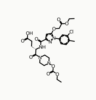 CCOC(=O)COc1cc(C(=O)N[C@@H](CCC(=O)O)C(=O)N2CCN(OC(=O)OCC)CC2)nn1-c1ccc(C)c(Cl)c1